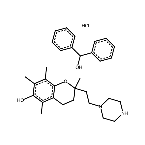 Cc1c(C)c2c(c(C)c1O)CCC(C)(CCN1CCNCC1)O2.Cl.OC(c1ccccc1)c1ccccc1